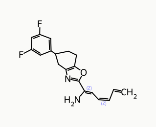 C=C/C=C\C=C(/N)c1nc2c(o1)CCC(c1cc(F)cc(F)c1)C2